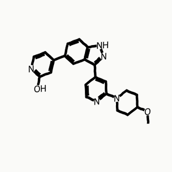 COC1CCN(c2cc(-c3n[nH]c4ccc(-c5ccnc(O)c5)cc34)ccn2)CC1